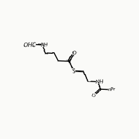 CCCC(=O)NCCSC(=O)CCCNC=O